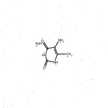 Cc1[nH]c(=O)[nH]c(=O)c1N.[NaH]